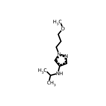 COCCCn1cc(NC(C)C)cn1